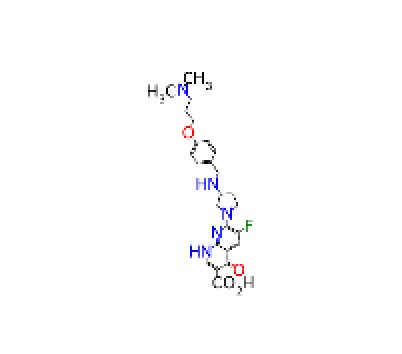 CN(C)CCCOc1ccc(CNC2CCN(c3nc4[nH]cc(C(=O)O)c(=O)c4cc3F)C2)cc1